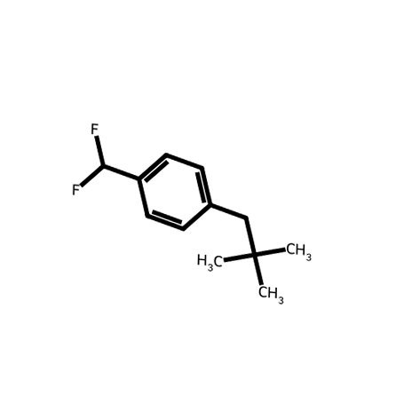 CC(C)(C)Cc1ccc(C(F)F)cc1